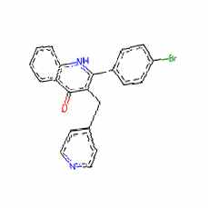 O=c1c(Cc2ccncc2)c(-c2ccc(Br)cc2)[nH]c2ccccc12